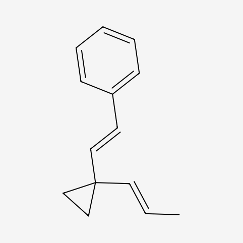 CC=CC1(C=Cc2ccccc2)CC1